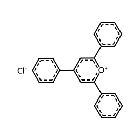 [Cl-].c1ccc(-c2cc(-c3ccccc3)[o+]c(-c3ccccc3)c2)cc1